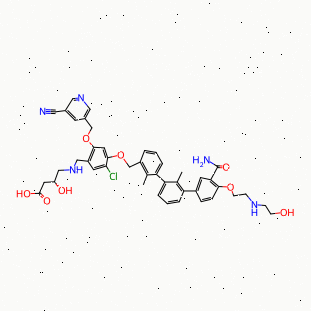 Cc1c(COc2cc(OCc3cncc(C#N)c3)c(CNC[C@@H](O)CC(=O)O)cc2Cl)cccc1-c1cccc(-c2ccc(OCCNCCO)c(C(N)=O)c2)c1C